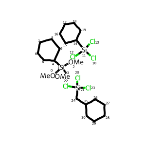 CO[Si](OC)(OC)C1CCCCC1.Cl[Si](Cl)(Cl)C1CCCCC1.Cl[Si](Cl)(Cl)CC1CCCCC1